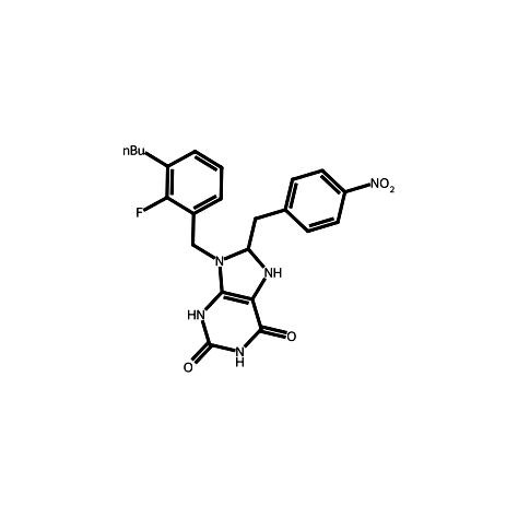 CCCCc1cccc(CN2c3[nH]c(=O)[nH]c(=O)c3NC2Cc2ccc([N+](=O)[O-])cc2)c1F